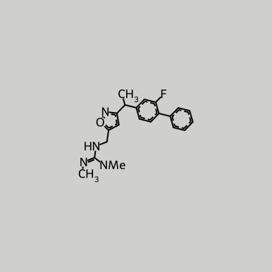 C/N=C(\NC)NCc1cc(C(C)c2ccc(-c3ccccc3)c(F)c2)no1